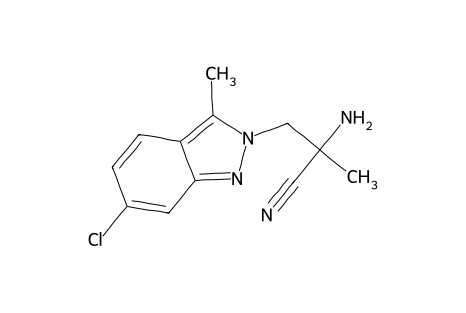 Cc1c2ccc(Cl)cc2nn1CC(C)(N)C#N